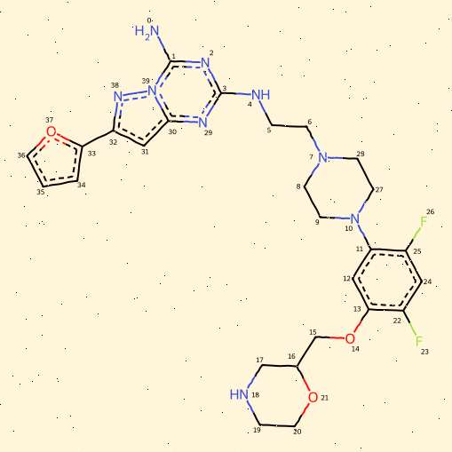 Nc1nc(NCCN2CCN(c3cc(OCC4CNCCO4)c(F)cc3F)CC2)nc2cc(-c3ccco3)nn12